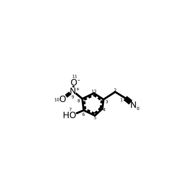 N#CCc1ccc(O)c([N+](=O)[O-])c1